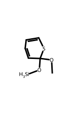 COC1(O[SiH3])C=CC=CS1